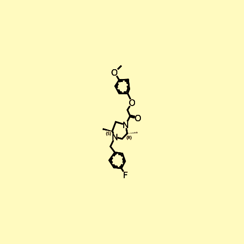 COc1ccc(OCC(=O)N2C[C@H](C)N(Cc3ccc(F)cc3)C[C@H]2C)cc1